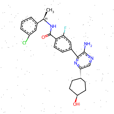 C[C@@H](NC(=O)c1ccc(-c2nc([C@H]3CC[C@H](O)CC3)cnc2N)cc1F)c1cccc(Cl)c1